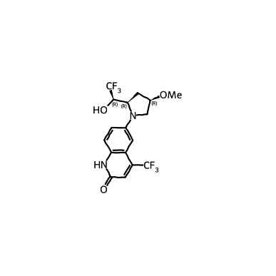 CO[C@@H]1C[C@H]([C@@H](O)C(F)(F)F)N(c2ccc3[nH]c(=O)cc(C(F)(F)F)c3c2)C1